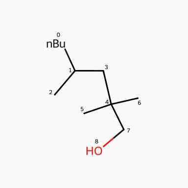 CCCCC(C)CC(C)(C)CO